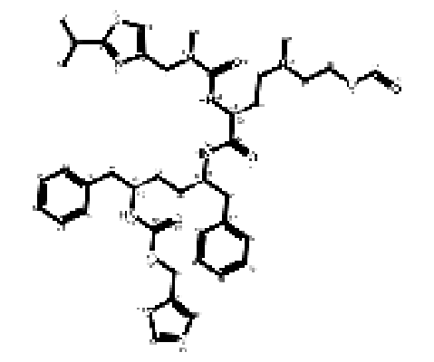 CC(C)c1nc(CN(C)C(=O)N[C@@H](CCN(C)CCOC=O)C(=O)N[C@H](CC[C@H](Cc2ccccc2)NC(=O)OCc2cncs2)Cc2ccccc2)cs1